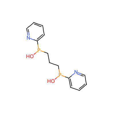 OP(CCCP(O)c1ccccn1)c1ccccn1